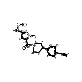 C#Cc1ccc(C2CCN(C(=O)c3cc(NC=O)nn3C)CC2)cc1